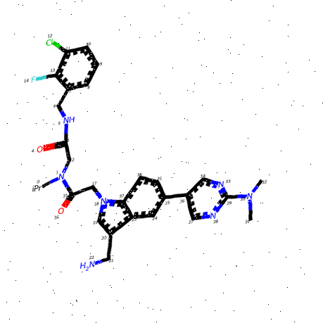 CC(C)N(CC(=O)NCc1cccc(Cl)c1F)C(=O)Cn1cc(CN)c2cc(-c3cnc(N(C)C)nc3)ccc21